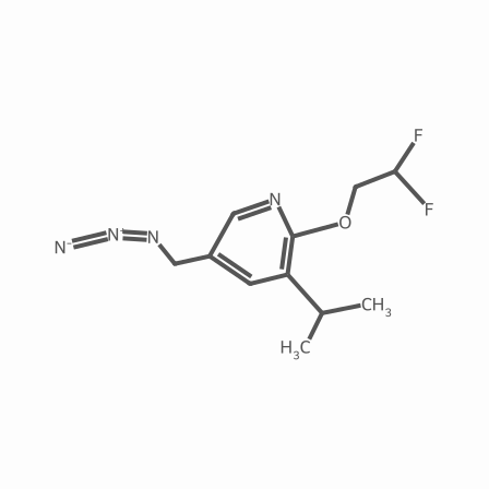 CC(C)c1cc(CN=[N+]=[N-])cnc1OCC(F)F